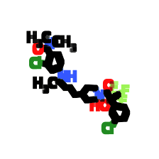 CC(CCCC1CCN(C(=O)[C@](O)(c2cccc(Cl)c2)C(F)(F)F)CC1)Nc1ccc(C(=O)N(C)C)c(Cl)c1